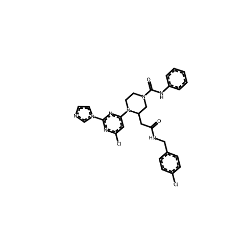 O=C(CC1CN(C(=O)Nc2ccccc2)CCN1c1cc(Cl)nc(-n2ccnc2)n1)NCc1ccc(Cl)cc1